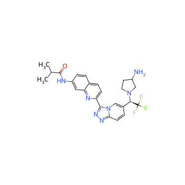 CC(C)C(=O)Nc1ccc2ccc(-c3nnc4ccc([C@@H](N5CCC(N)C5)C(F)(F)F)cn34)nc2c1